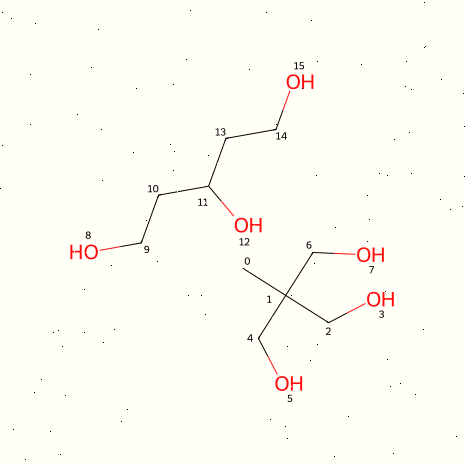 CC(CO)(CO)CO.OCCC(O)CCO